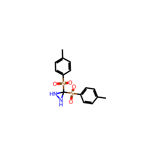 Cc1ccc(S(=O)(=O)C2(S(=O)(=O)c3ccc(C)cc3)NN2)cc1